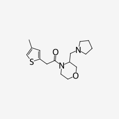 Cc1csc(CC(=O)N2CCOCC2CN2CCCC2)c1